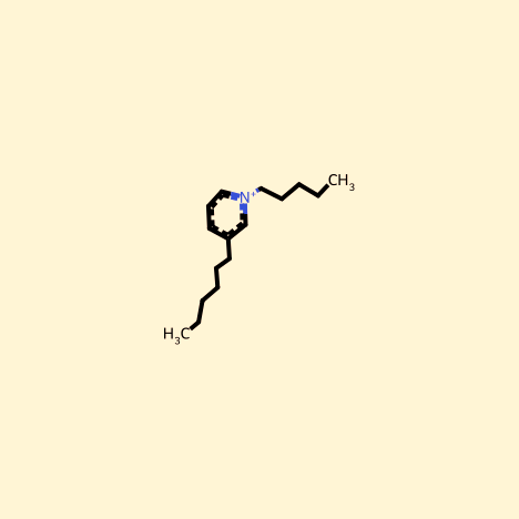 CCCCCCc1ccc[n+](CCCCC)c1